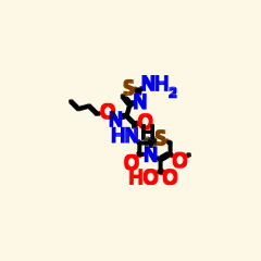 CCCCON=C(C(=O)NC1C(=O)N2C(C(=O)O)=C(OC)CS[C@@H]12)c1csc(N)n1